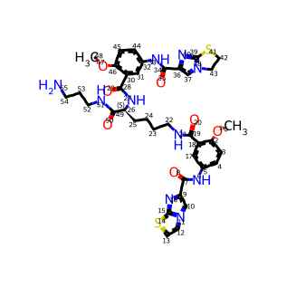 COc1ccc(NC(=O)c2cn3ccsc3n2)cc1C(=O)NCCCC[C@H](NC(=O)c1cc(NC(=O)c2cn3c(n2)SCC3)ccc1OC)C(=O)NCCCN